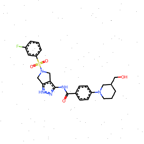 O=C(Nc1n[nH]c2c1CN(S(=O)(=O)c1cccc(F)c1)C2)c1ccc(N2CCCC(CO)C2)cc1